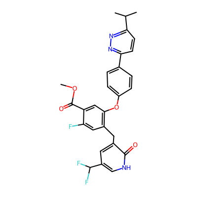 COC(=O)c1cc(Oc2ccc(-c3ccc(C(C)C)nn3)cc2)c(Cc2cc(C(F)F)c[nH]c2=O)cc1F